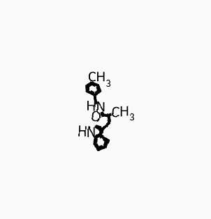 Cc1ccc(CNC(=O)C(C)Cc2c[nH]c3ccccc23)cc1